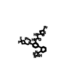 CC(C)CN(CC1CC(F)(F)C1)c1ccc(-c2ccccc2-c2nnn[nH]2)cc1NC(=O)Nc1cc(C(C)C)no1